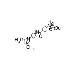 C[C@@H]1CN(c2ccc(NC(=O)C3CCC(NS(=O)(=O)C(C)(C)C)CC3)cc2)C[C@H](C)O1